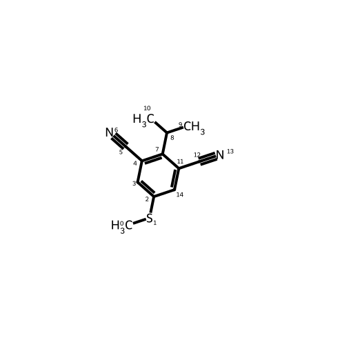 CSc1cc(C#N)c(C(C)C)c(C#N)c1